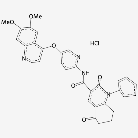 COc1cc2nccc(Oc3ccc(NC(=O)c4cc5c(n(-c6ccccc6)c4=O)CCCC5=O)nc3)c2cc1OC.Cl